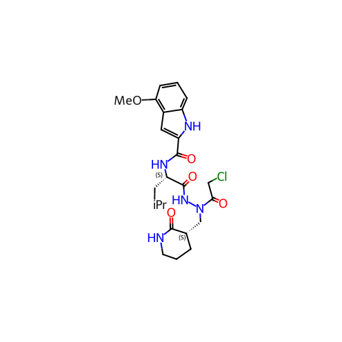 COc1cccc2[nH]c(C(=O)N[C@@H](CC(C)C)C(=O)NN(C[C@@H]3CCCNC3=O)C(=O)CCl)cc12